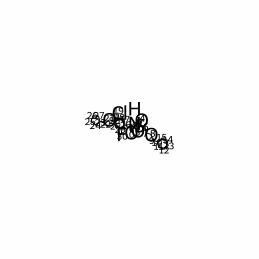 O=C(NS(=O)(=O)CCOCc1ccccc1)c1cc(Cl)c(OCC2CCCC2)cc1F